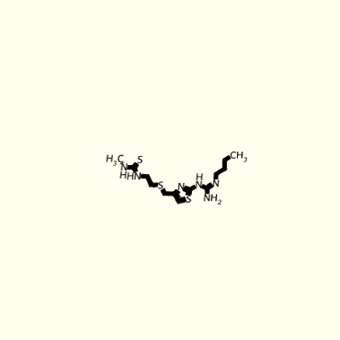 CCCC/N=C(/N)Nc1nc(CSCCNC(=S)NC)cs1